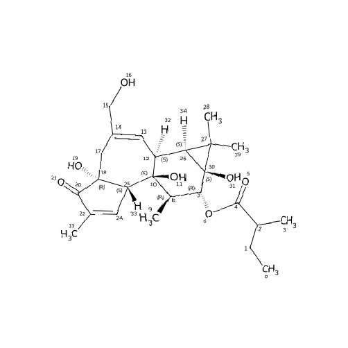 CCC(C)C(=O)O[C@@H]1[C@@H](C)[C@@]2(O)[C@@H](C=C(CO)C[C@]3(O)C(=O)C(C)=C[C@@H]23)[C@H]2C(C)(C)[C@]12O